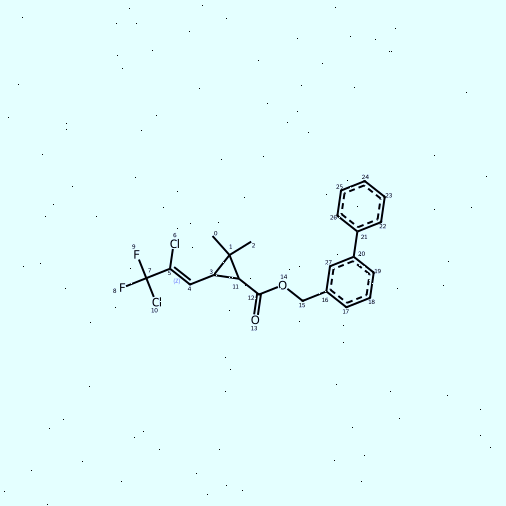 CC1(C)C(/C=C(\Cl)C(F)(F)Cl)C1C(=O)OCc1cccc(-c2ccccc2)c1